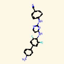 N#Cc1ccc(Nc2nccc(Nc3c(F)cc(-c4ccc(N)cc4)cc3F)n2)cc1